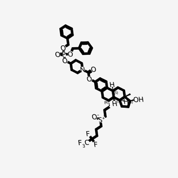 C[C@]12CC[C@@H]3c4ccc(OC(=O)N5CCC(OP(=O)(OCc6ccccc6)OCc6ccccc6)CC5)cc4C[C@@H](CCC[S+]([O-])CCCC(F)(F)C(F)(F)F)[C@H]3[C@@H]1CC[C@@H]2O